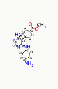 COC(=O)c1ccc2c(c1)[nH]c1ncnc(N[C@H]3CC[C@@H](N)CC3)c12